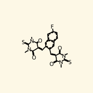 CN1C(=O)C(=Cc2cc3ccc(F)cc3cc2C=C2C(=O)N(C)C(=S)N(C)C2=O)C(=O)N(C)C1=S